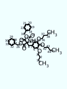 CCCCOc1cc(CC(NC=O)(C(=O)OCc2ccccc2)C(=O)OCc2ccccc2)cc(OCCCC)c1OCCCC